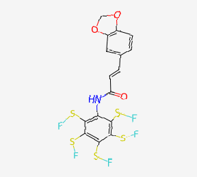 O=C(C=Cc1ccc2c(c1)OCO2)Nc1c(SF)c(SF)c(SF)c(SF)c1SF